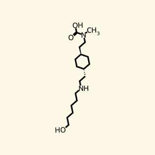 CN(CC[C@H]1CC[C@H](CCNCCCCCCO)CC1)C(=O)O